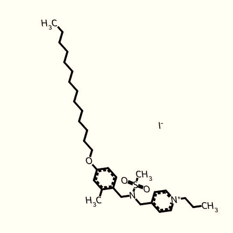 CCCCCCCCCCCCCCOc1ccc(CN(Cc2cc[n+](CCC)cc2)S(C)(=O)=O)c(C)c1.[I-]